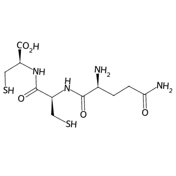 NC(=O)CC[C@H](N)C(=O)N[C@@H](CS)C(=O)N[C@@H](CS)C(=O)O